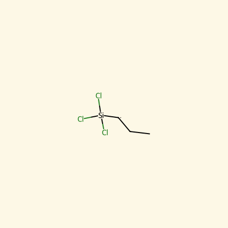 CC[CH][Si](Cl)(Cl)Cl